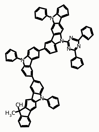 CC1(C)c2ccccc2-c2cc3c(cc21)c1cc(-c2ccc4c(c2)c2cc(-c5ccc6c(c5)c5cc7c(cc5n6-c5nc(-c6ccccc6)nc(-c6ccccc6)n5)c5ccccc5n7-c5ccccc5)ccc2n4-c2ccccc2)ccc1n3-c1ccccc1